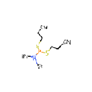 CC(C)N(C(C)C)P(SCCC#N)SCCC#N